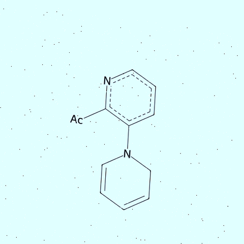 CC(=O)c1ncccc1N1C=CC=CC1